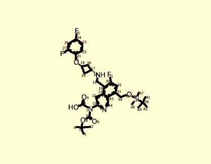 CC(C)(C)OC(=O)N(C(=O)O)c1cc2c(CN[C@H]3C[C@H](Oc4ccc(F)cc4F)C3)c(F)cc(CO[Si](C)(C)C(C)(C)C)c2cn1